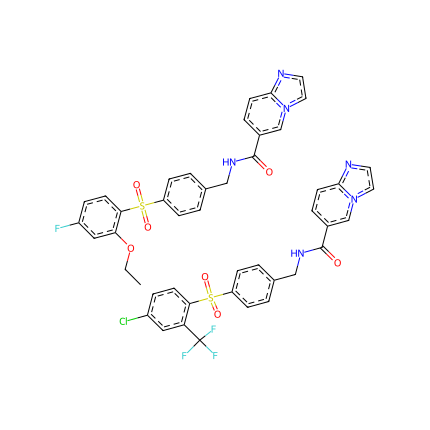 CCOc1cc(F)ccc1S(=O)(=O)c1ccc(CNC(=O)c2ccc3nccn3c2)cc1.O=C(NCc1ccc(S(=O)(=O)c2ccc(Cl)cc2C(F)(F)F)cc1)c1ccc2nccn2c1